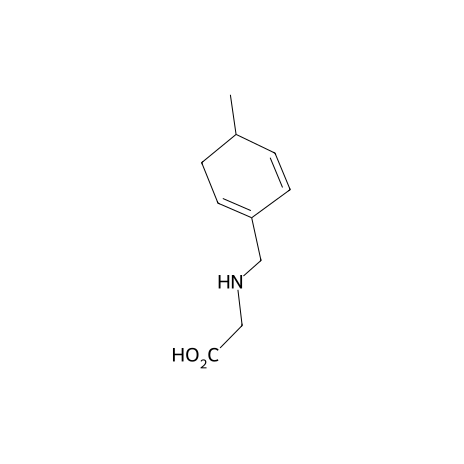 CC1C=CC(CNCC(=O)O)=CC1